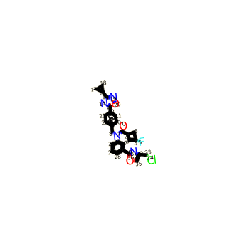 O=C(C1C=C(F)C1)N(CC12CCC(c3nc(C4CC4)no3)(CC1)CC2)c1cccc(-c2nc(CCl)co2)c1